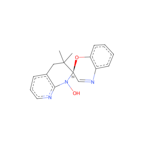 CC1(C)Cc2cccnc2N(O)[C@@]12C=Nc1ccccc1O2